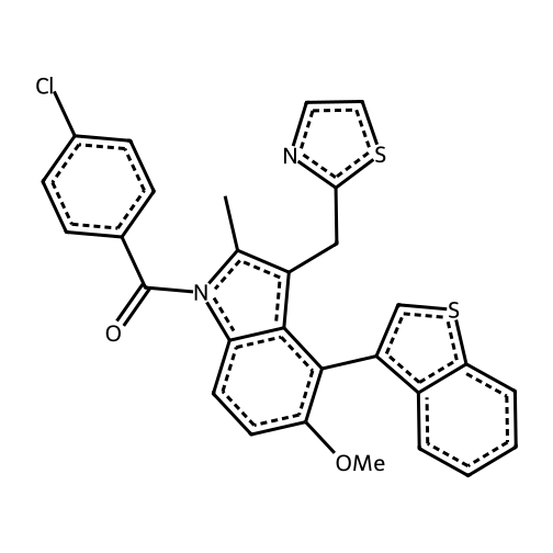 COc1ccc2c(c(Cc3nccs3)c(C)n2C(=O)c2ccc(Cl)cc2)c1-c1csc2ccccc12